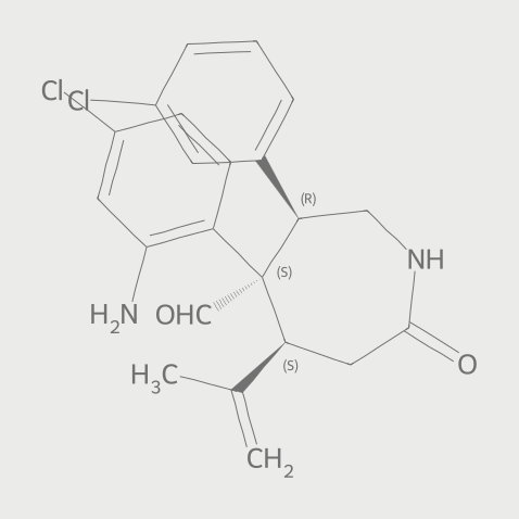 C=C(C)[C@@H]1CC(=O)NC[C@H](c2cccc(Cl)c2)[C@]1(C=O)c1ccc(Cl)cc1N